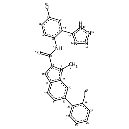 Cn1c(C(=O)Nc2ccc(Cl)cc2-c2nnn[nH]2)cc2ccc(-c3ccccc3F)cc21